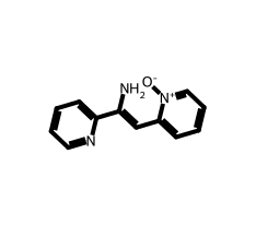 NC(=Cc1cccc[n+]1[O-])c1ccccn1